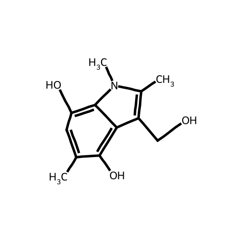 Cc1cc(O)c2c(c1O)c(CO)c(C)n2C